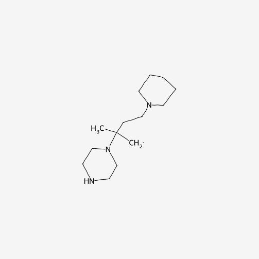 [CH2]C(C)(CCN1CCCCC1)N1CCNCC1